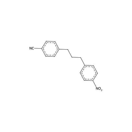 N#Cc1ccc(CCCc2ccc([N+](=O)[O-])cc2)cc1